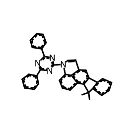 CC1(C)c2ccccc2-c2cc3c4c(cccc4c21)N(c1nc(-c2ccccc2)nc(-c2ccccc2)n1)C=C3